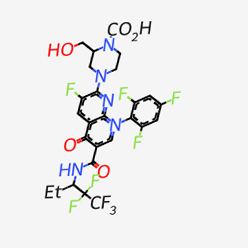 CCC(NC(=O)c1cn(-c2c(F)cc(F)cc2F)c2nc(N3CCN(C(=O)O)C(CO)C3)c(F)cc2c1=O)C(F)(F)C(F)(F)F